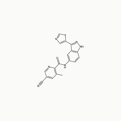 Cc1cc(C#N)cnc1C(=O)Nc1ccc2[nH]nc(-c3cncs3)c2c1